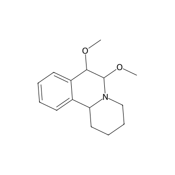 COC1c2ccccc2C2CCCCN2C1OC